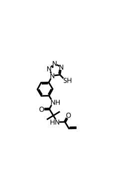 C=CC(=O)NC(C)(C)C(=O)Nc1cccc(-n2nnnc2S)c1